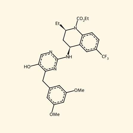 CCOC(=O)N1c2ccc(C(F)(F)F)cc2[C@@H](Nc2ncc(O)c(Cc3cc(OC)cc(OC)c3)n2)C[C@H]1CC